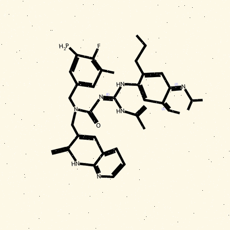 C=C(C)N/C(=N\C(=O)N(CC1=Cc2cccnc2NC1=C)Cc1cc(C)c(F)c(P)c1)NC1=CC(=C/C)/C(=N\C(C)C)C=C1CCC